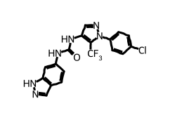 O=C(Nc1ccc2cn[nH]c2c1)Nc1cnn(-c2ccc(Cl)cc2)c1C(F)(F)F